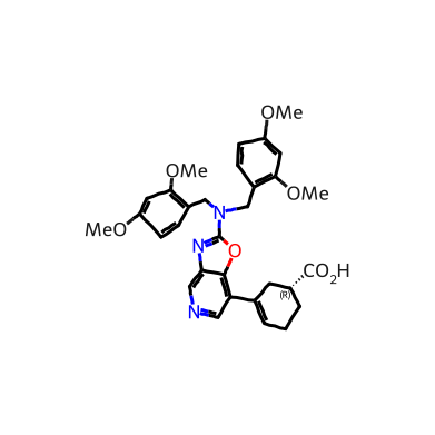 COc1ccc(CN(Cc2ccc(OC)cc2OC)c2nc3cncc(C4=CCC[C@@H](C(=O)O)C4)c3o2)c(OC)c1